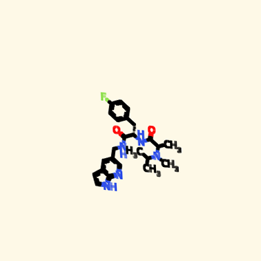 CC(C)N(C)C(C)C(=O)N[C@@H](Cc1ccc(F)cc1)C(=O)NCc1cnc2[nH]ccc2c1